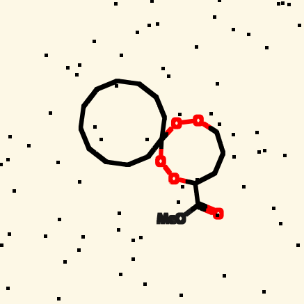 COC(=O)C1CCCOOC2(CCCCCCCCCCC2)OO1